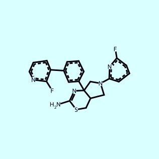 NC1=NC2(c3cccc(-c4cccnc4F)c3)CN(c3cccc(F)n3)CC2CS1